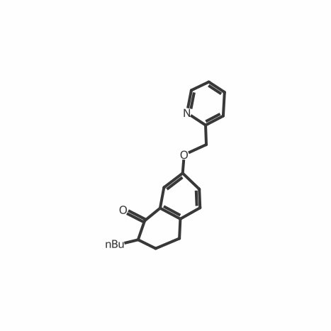 CCCCC1CCc2ccc(OCc3ccccn3)cc2C1=O